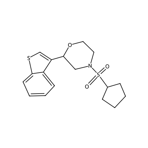 O=S(=O)(C1CCCC1)N1CCOC(c2csc3ccccc23)C1